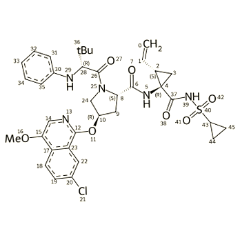 C=C[C@@H]1C[C@]1(NC(=O)[C@@H]1C[C@@H](Oc2ncc(OC)c3ccc(Cl)cc23)CN1C(=O)[C@H](Nc1ccccc1)C(C)(C)C)C(=O)NS(=O)(=O)C1CC1